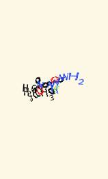 CC(C)(C)CC(=O)N(c1ccccc1)c1ccc2c(c1)cc(C(=O)Nc1ccc(N)nc1)n2Cc1ccccc1F